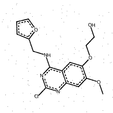 COc1cc2nc(Cl)nc(NCc3ccco3)c2cc1OCCO